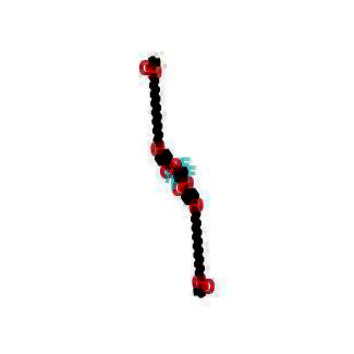 C=C(C)C(=O)OCCCCCCCCCCCCCCCCOc1ccc(C(=O)Oc2c(F)c(F)c(OC(=O)c3ccc(OCCCCCCCCCCCCCCCCOC(=O)C(=C)C)cc3)c(F)c2F)cc1